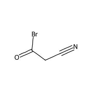 N#CCC(=O)Br